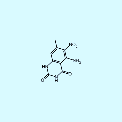 Cc1cc2[nH]c(=O)[nH]c(=O)c2c(N)c1[N+](=O)[O-]